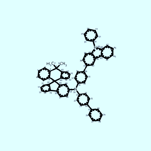 CC1(C)c2ccccc2C2(c3ccccc3-c3ccc(N(c4ccc(-c5ccccc5)cc4)c4ccc(-c5ccc6c(c5)c5ccccc5n6-c5ccccc5)cc4)cc32)c2ccccc21